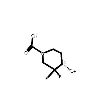 O=C(O)N1CC[C@H](O)C(F)(F)C1